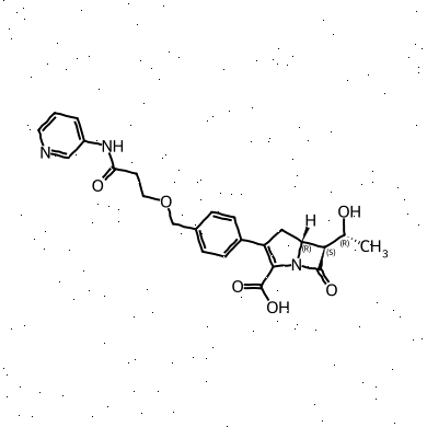 C[C@@H](O)[C@H]1C(=O)N2C(C(=O)O)=C(c3ccc(COCCC(=O)Nc4cccnc4)cc3)C[C@H]12